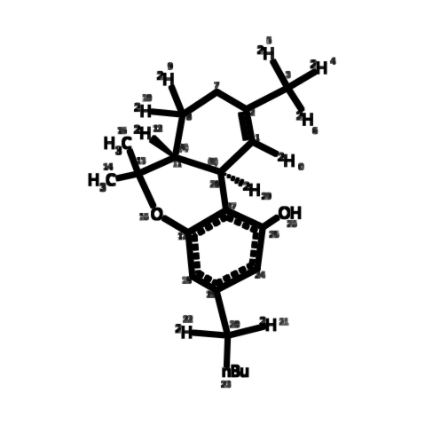 [2H]C1=C(C([2H])([2H])[2H])CC([2H])([2H])[C@@]2([2H])C(C)(C)Oc3cc(C([2H])([2H])CCCC)cc(O)c3[C@]12[2H]